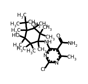 Cc1nc(Cl)nc(NC2(C)C(C)(C)C(C)(C)C(C)(C(C)(C)C)C(C)(O)C2(C)C)c1C(N)=O